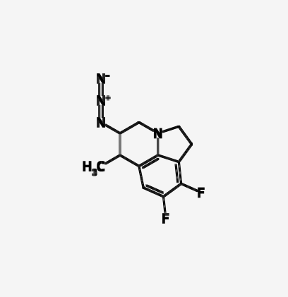 CC1c2cc(F)c(F)c3c2N(CC3)CC1N=[N+]=[N-]